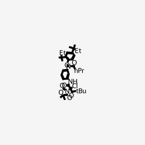 CCCC(=O)N(Oc1ccc(C(C)(C)CC)cc1C(C)(C)CC)c1cccc(NC(=O)C(Cl)(C(=O)C(C)(C)C)N2C(=O)OC(C)(C)C2=O)c1